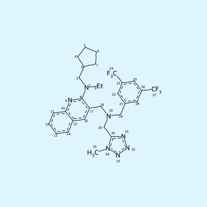 CCN(CC1CCCC1)c1nc2ccccc2cc1CN(Cc1cc(C(F)(F)F)cc(C(F)(F)F)c1)Cc1nnnn1C